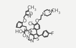 Cc1cc(COc2ccccc2C[C@@H](Oc2ncnc3sc(-c4ccc(F)cc4)c(-c4ccc(OCCN5CCN(C)CC5)c(Cl)c4C)c23)C(=O)O)no1